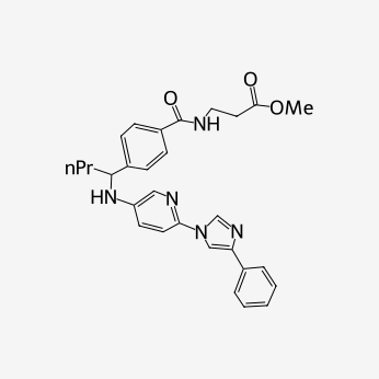 CCCC(Nc1ccc(-n2cnc(-c3ccccc3)c2)nc1)c1ccc(C(=O)NCCC(=O)OC)cc1